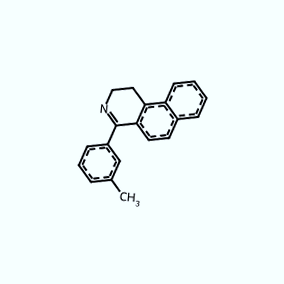 Cc1cccc(C2=NCCc3c2ccc2ccccc32)c1